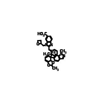 CC1OC2=CC=CC(c3ccc4cnn(C)c4c3F)(C3(C)CCCCN3Cc3nc4ccc(C(=O)O)cc4n3C[C@@H]3CCO3)C2O1